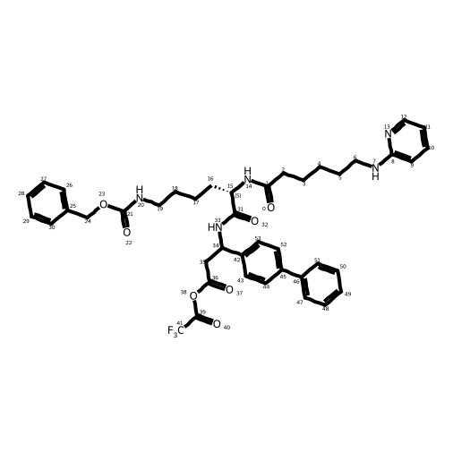 O=C(CCCCCNc1ccccn1)N[C@@H](CCCCNC(=O)OCc1ccccc1)C(=O)NC(CC(=O)OC(=O)C(F)(F)F)c1ccc(-c2ccccc2)cc1